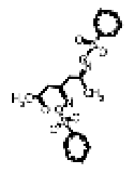 CC(=O)CC(CC(C)=NOS(=O)(=O)c1ccccc1)=NOS(=O)(=O)c1ccccc1